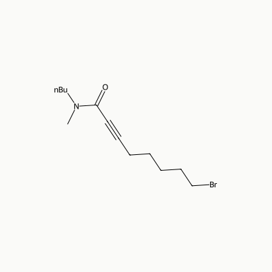 CCCCN(C)C(=O)C#CCCCCCBr